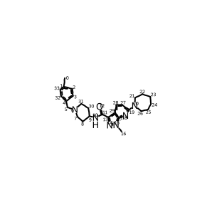 Cc1ccc(CN2CCC(NC(=O)c3nn(C)c4nc(N5CCCCCC5)ccc34)CC2)cc1